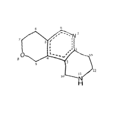 c1nc2c(c3c1CCOC3)CNCC2